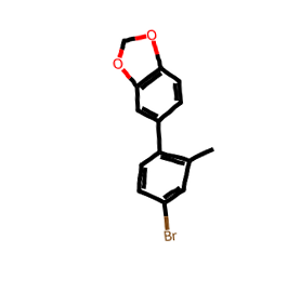 Cc1cc(Br)ccc1-c1ccc2c(c1)OCO2